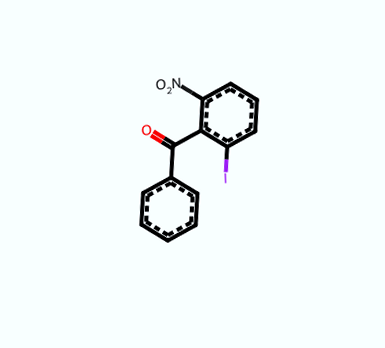 O=C(c1ccccc1)c1c(I)cccc1[N+](=O)[O-]